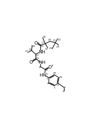 CCc1ccc(NC(=O)CNC(=O)C(NC(=O)C(C)(C)CC(C)(C)C)C(C)C)cc1